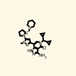 Cn1nc(-c2cn(C(C3CC3)C3CC3)c(=O)c3c(N)n[nH]c23)cc1N1CCC[C@@H]1CN1CCCCC1